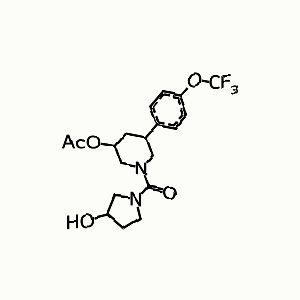 CC(=O)OC1CC(c2ccc(OC(F)(F)F)cc2)CN(C(=O)N2CCC(O)C2)C1